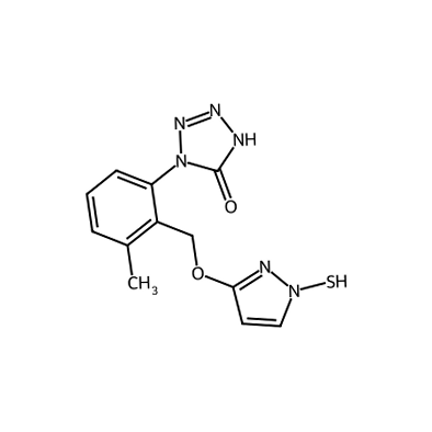 Cc1cccc(-n2nn[nH]c2=O)c1COc1ccn(S)n1